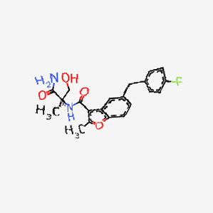 Cc1oc2ccc(Cc3ccc(F)cc3)cc2c1C(=O)N[C@@](C)(CO)C(N)=O